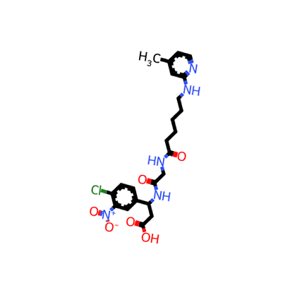 Cc1ccnc(NCCCCCC(=O)NCC(=O)NC(CC(=O)O)c2ccc(Cl)c([N+](=O)[O-])c2)c1